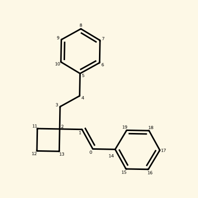 C(=CC1(CCc2ccccc2)CCC1)c1ccccc1